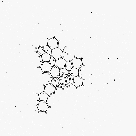 CC1(C)c2ccccc2C2(c3cc4c(cc31)C1(c3ccccc3-c3ccccc31)c1ccccc1-4)c1cccnc1-c1ncc(-n3c4ccccc4c4cc5c(cc43)sc3ccccc35)cc12